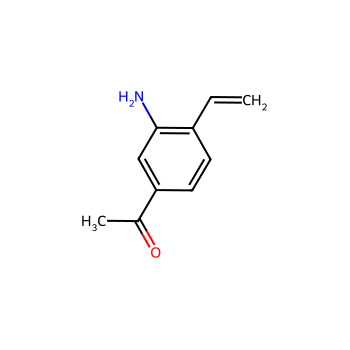 C=Cc1ccc(C(C)=O)cc1N